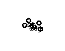 CC(C)(C)[Si](c1ccccc1)(c1ccccc1)n1cc[n+]([Si](c2ccccc2)(c2ccccc2)C(C)(C)C)c1C(=O)O